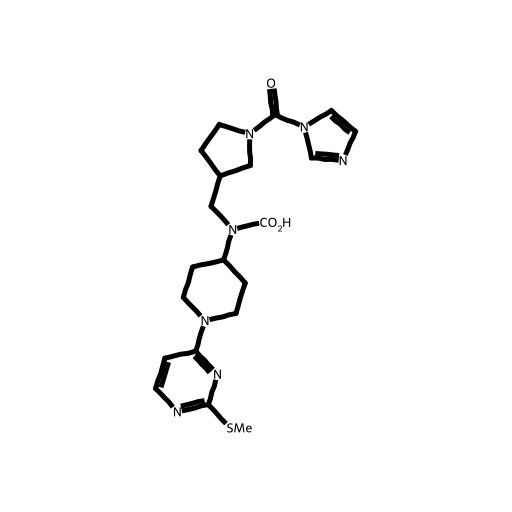 CSc1nccc(N2CCC(N(CC3CCN(C(=O)n4ccnc4)C3)C(=O)O)CC2)n1